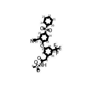 CS(=O)(=O)NC(=O)Cc1cc(Oc2ccc(S(=O)(=O)c3ccccc3)cc2C#N)cc(C(F)(F)F)c1